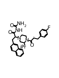 CC(C)C1CN(C(Cc2ccc3ccccc3c2)C(=O)NC(N)=O)CCN1C(=O)[CH]Cc1ccc(F)cc1